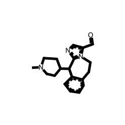 CN1CCC(C2c3ccccc3CCn3c(C=O)cnc32)CC1